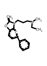 C=C1Oc2ccc(-c3ccccc3)cc2N1CCCN(C)CC